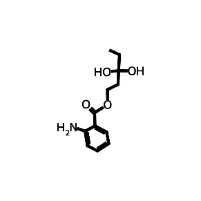 CCC(O)(O)CCOC(=O)c1ccccc1N